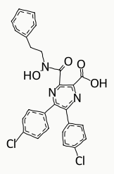 O=C(O)c1nc(-c2ccc(Cl)cc2)c(-c2ccc(Cl)cc2)nc1C(=O)N(O)CCc1ccccc1